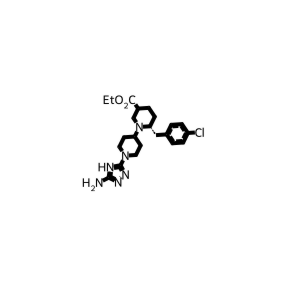 CCOC(=O)C1CC[C@H](Cc2ccc(Cl)cc2)N(C2CCN(c3nnc(N)[nH]3)CC2)C1